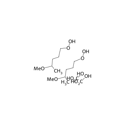 COC(C)CCCOO.COC(C)CCCOO.O=C(O)O.O=C(O)O